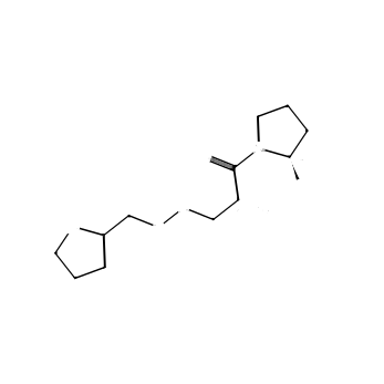 C[C@H](CSSCC1CCCO1)C(=O)N1CCC[C@H]1C(=O)O